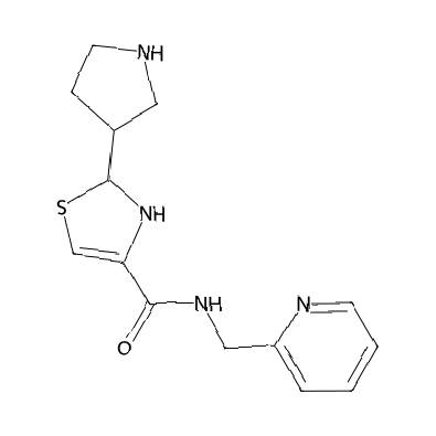 O=C(NCc1ccccn1)C1=CSC(C2CCNC2)N1